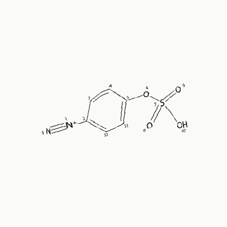 N#[N+]c1ccc(OS(=O)(=O)O)cc1